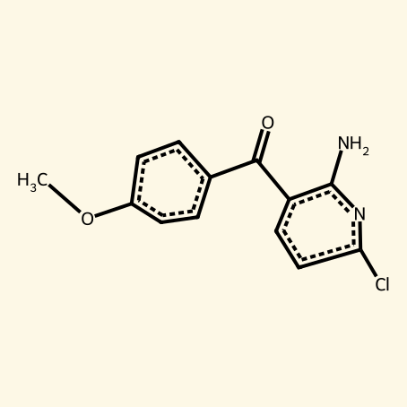 COc1ccc(C(=O)c2ccc(Cl)nc2N)cc1